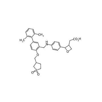 Cc1cccc(C)c1-c1ccc(OCC2CCS(=O)(=O)C2)c(CNc2ccc(C3OCC3CC(=O)O)cc2)c1